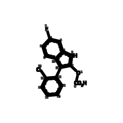 O=C(O)Oc1[nH]c2cc(F)ccc2c1-c1ccccc1Cl